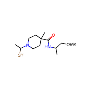 COCC(C)NC(=O)C1(C)CCN(C(C)S)CC1